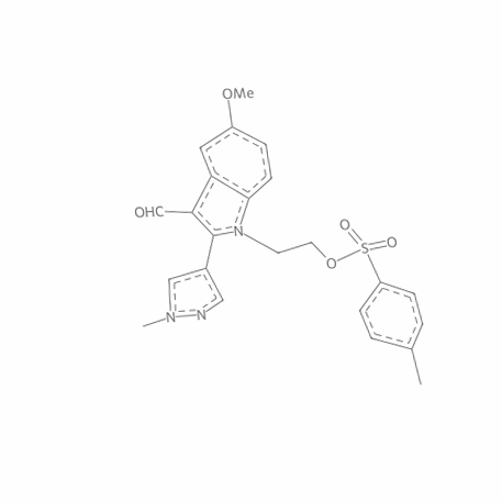 COc1ccc2c(c1)c(C=O)c(-c1cnn(C)c1)n2CCOS(=O)(=O)c1ccc(C)cc1